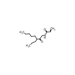 C=CC(=O)NCC(=O)C(CCC)CCCCC